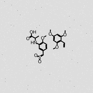 C=Cc1c(OC)cc(OC)cc1OC.COc1ccc(C=S(=O)=O)cc1NC(C)C(=O)O